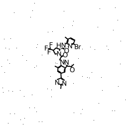 CC(=O)c1nn(CC(=O)N2CC(C(F)(F)F)C[C@H]2C(=O)Nc2nc(Br)ccc2C)c2c(C)cc(-c3cnc(C)nc3)cc12